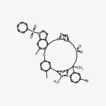 Cc1c2nnn1Cc1c(c(F)cc3c1ccn3S(=O)(=O)c1ccccc1)Oc1ccc(F)c(c1)-c1nc(nn1C)C(C)(c1cccc(Br)c1)CCS(=O)(=O)C2